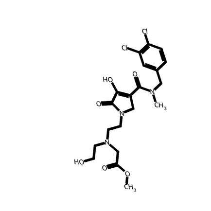 COC(=O)CN(CCO)CCN1CC(C(=O)N(C)Cc2ccc(Cl)c(Cl)c2)=C(O)C1=O